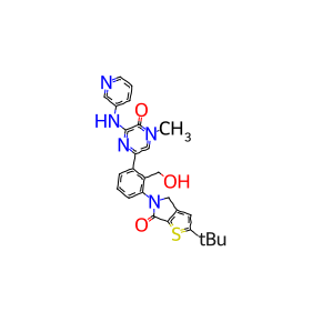 Cn1cc(-c2cccc(N3Cc4cc(C(C)(C)C)sc4C3=O)c2CO)nc(Nc2cccnc2)c1=O